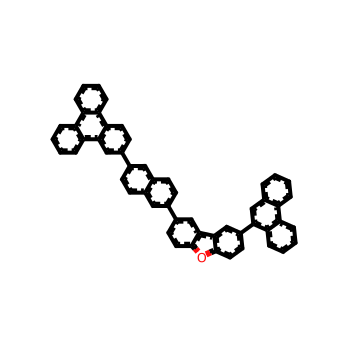 c1ccc2c(c1)cc(-c1ccc3oc4ccc(-c5ccc6cc(-c7ccc8c9ccccc9c9ccccc9c8c7)ccc6c5)cc4c3c1)c1ccccc12